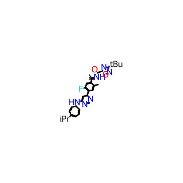 Cc1cc(-c2cc(NC3C=CC=C(C(C)C)C=C3)ncn2)c(F)cc1[C@@H](C)NC(=O)c1nc(C(C)(C)C)no1